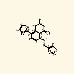 CC1CC(=O)c2c(SCc3cscn3)ccc(-c3nccs3)c2C1